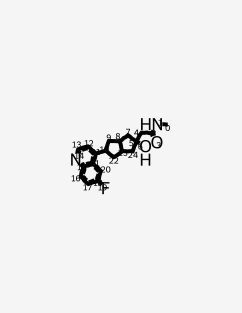 CNC(=O)CC1(O)CC2CC(c3ccnc4ccc(F)cc34)CC2C1